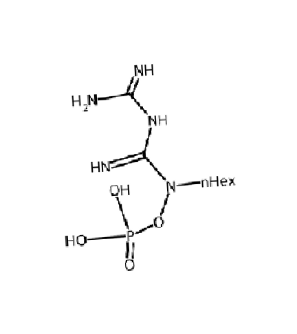 CCCCCCN(OP(=O)(O)O)C(=N)NC(=N)N